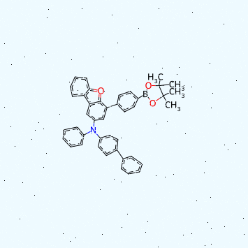 CC1(C)OB(c2ccc(-c3cc(N(c4ccccc4)c4ccc(-c5ccccc5)cc4)cc4c3oc3ccccc34)cc2)OC1(C)C